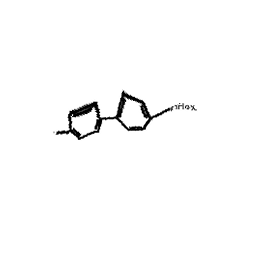 [CH2]c1ccc(-c2ccc(CCCCCC)cc2)cc1